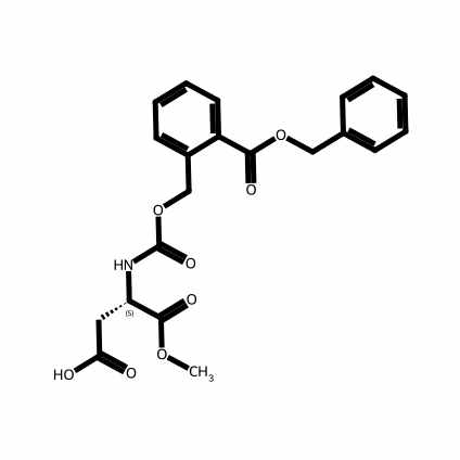 COC(=O)[C@H](CC(=O)O)NC(=O)OCc1ccccc1C(=O)OCc1ccccc1